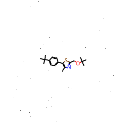 Cc1nc(COC(C)(C)C)sc1-c1ccc(C(C)(C)C)cc1